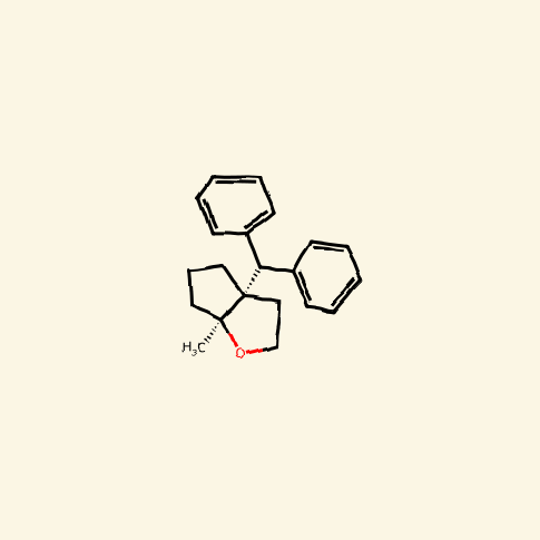 C[C@]12CCC[C@@]1(C(c1ccccc1)c1ccccc1)CCO2